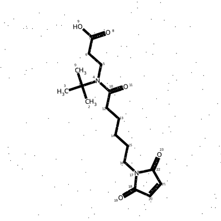 CC(C)(C)N(CCC(=O)O)C(=O)CCCCCN1C(=O)C=CC1=O